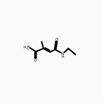 CCNC(=O)/C=C(\C)C(N)=O